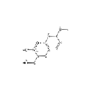 COc1ccc(CC(CO)[N+](=O)[O-])cn1